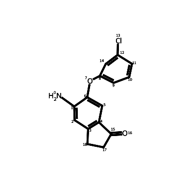 Nc1cc2c(cc1Oc1cccc(Cl)c1)C(=O)CC2